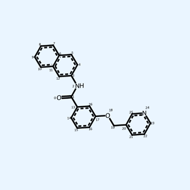 O=C(Nc1ccc2ccccc2c1)c1cccc(OCc2cccnc2)c1